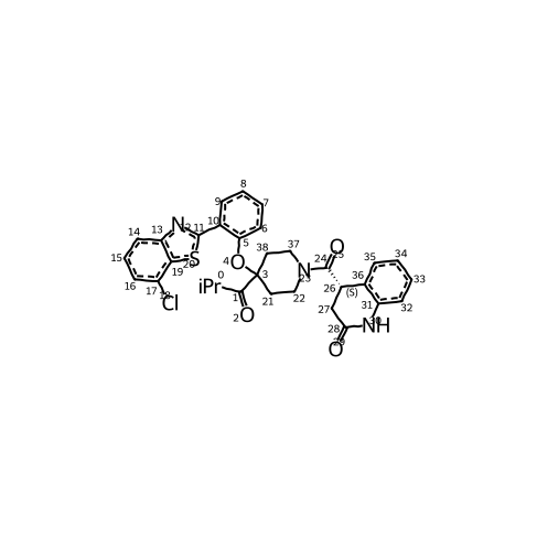 CC(C)C(=O)C1(Oc2ccccc2-c2nc3cccc(Cl)c3s2)CCN(C(=O)[C@H]2CC(=O)Nc3ccccc32)CC1